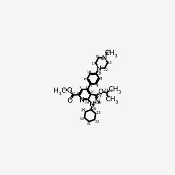 COC(=O)c1cc(-c2ccc(N3CCN(C)CC3)cc2)c2c(OC(C)C)nn(C3CCCCC3)c2n1